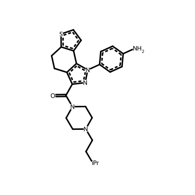 CC(C)CCN1CCN(C(=O)c2nn(-c3ccc(N)cc3)c3c2CCc2sccc2-3)CC1